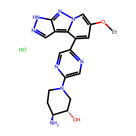 CCOc1cc(-c2cnc(N3CC[C@H](N)[C@@H](O)C3)cn2)c2c3cn[nH]c3nn2c1.Cl